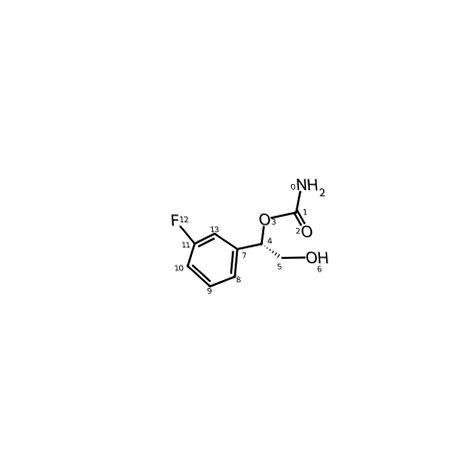 NC(=O)O[C@H](CO)c1cccc(F)c1